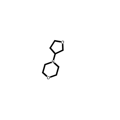 C1CN(C2CCOC2)CCO1